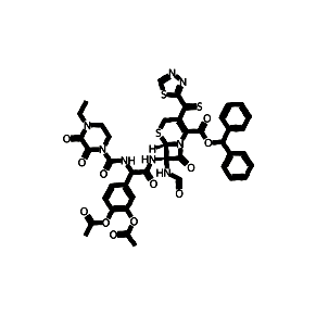 CCN1CCN(C(=O)NC(C(=O)N[C@]2(NC=O)C(=O)N3C(C(=O)OC(c4ccccc4)c4ccccc4)=C(C(=S)c4nncs4)CS[C@H]32)c2ccc(OC(C)=O)c(OC(C)=O)c2)C(=O)C1=O